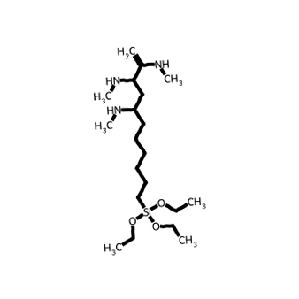 C=C(NC)C(CC(CCCCCC[Si](OCC)(OCC)OCC)NC)NC